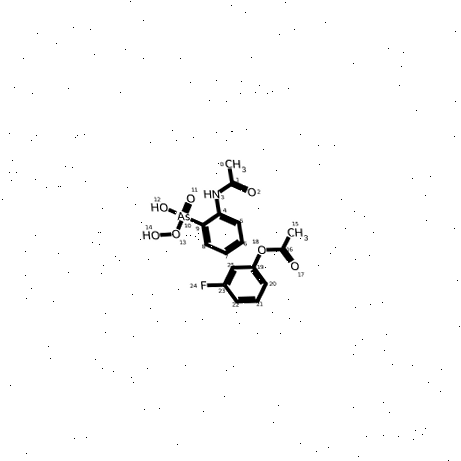 CC(=O)Nc1ccccc1[As](=O)(O)OO.CC(=O)Oc1cccc(F)c1